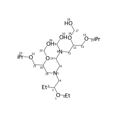 CCOC(CC)CN(CCN(CO)CC(COC(C)C)OCO)CC(COC(C)C)OCO